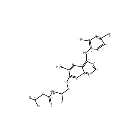 CC(COc1cc2ncnc(Nc3ccc(Br)cc3F)c2cc1N)NC(=O)CN(C)C